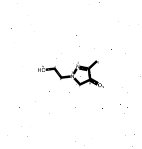 CC1=NN(CCO)CC1=O